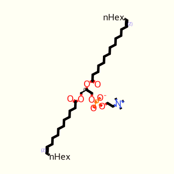 CCCCCC/C=C\CCCCCCCCCCCC(=O)O[C@H](COC(=O)CCCCCCCCC/C=C\CCCCCC)COP(=O)([O-])OCC[N+](C)(C)C